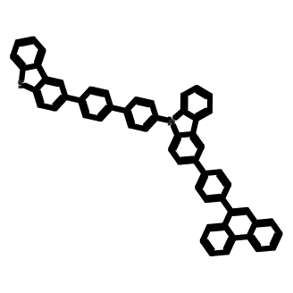 c1ccc2c(c1)cc(-c1ccc(-c3ccc4c(c3)c3ccccc3n4-c3ccc(-c4ccc(-c5ccc6sc7ccccc7c6c5)cc4)cc3)cc1)c1ccccc12